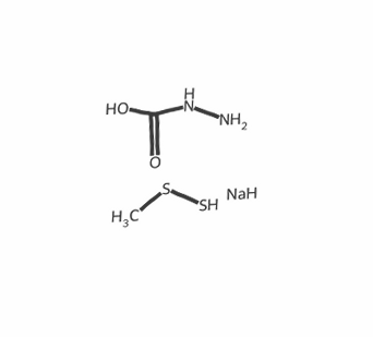 CSS.NNC(=O)O.[NaH]